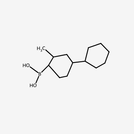 CC1CC(C2CCCCC2)CCC1B(O)O